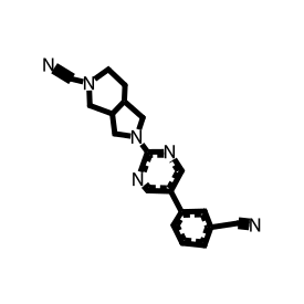 N#Cc1cccc(-c2cnc(N3CC4CCN(C#N)CC4C3)nc2)c1